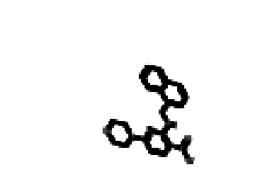 O=[N+]([O-])c1ccc(N2CCOCC2)nc1NCc1cccc2ccccc12